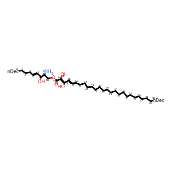 CCCCCCCCCCCCCC=CC(O)C(N)COC(=O)C(O)=C(O)C=CCCCCCCCCCCCCCCCCCCCCCCCCCCCCCC